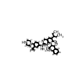 CCC(CC)c1cc2cnc(Nc3ccc(N4CCNCC4)c(C(F)(F)F)c3)nc2n(C2C(=O)c3ccccc3NC2(C)C)c1=O